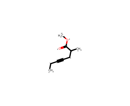 CCC#CCC(C)C(=O)OC